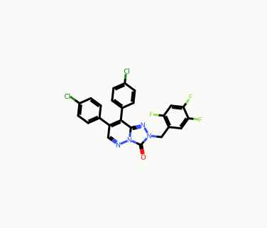 O=c1n(Cc2cc(F)c(F)cc2F)nc2c(-c3ccc(Cl)cc3)c(-c3ccc(Cl)cc3)cnn12